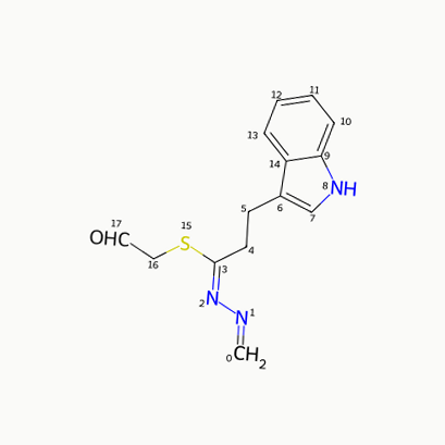 C=N/N=C(\CCc1c[nH]c2ccccc12)SCC=O